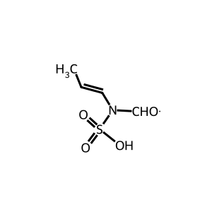 CC=CN([C]=O)S(=O)(=O)O